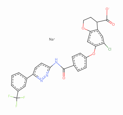 O=C(Nc1ccc(-c2cccc(C(F)(F)F)c2)nn1)c1ccc(Oc2cc3c(cc2Cl)C(C(=O)[O-])CCO3)cc1.[Na+]